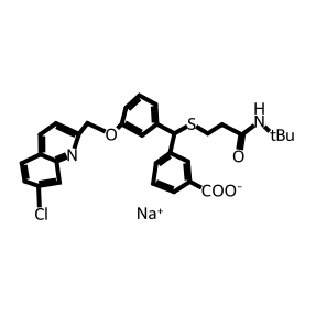 CC(C)(C)NC(=O)CCSC(c1cccc(OCc2ccc3ccc(Cl)cc3n2)c1)c1cccc(C(=O)[O-])c1.[Na+]